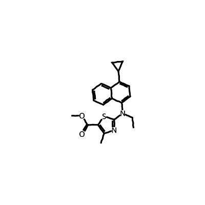 CCN(c1nc(C)c(C(=O)OC)s1)c1ccc(C2CC2)c2ccccc12